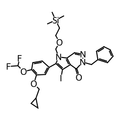 C[Si](C)(C)CCOCn1c(-c2ccc(OC(F)F)c(OCC3CC3)c2)c(I)c2c(=O)n(Cc3ccccc3)ncc21